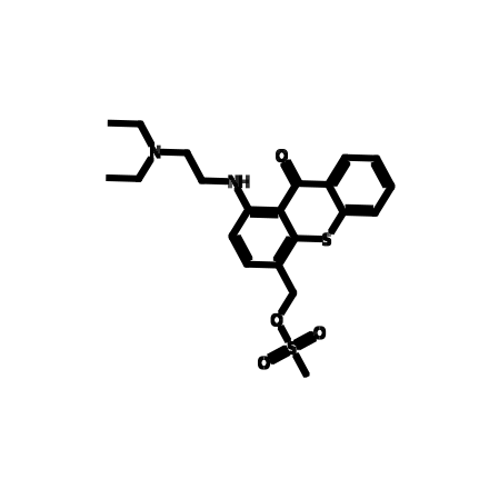 CCN(CC)CCNc1ccc(COS(C)(=O)=O)c2sc3ccccc3c(=O)c12